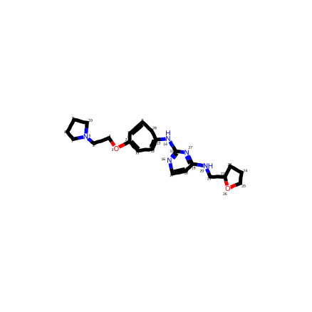 C1=CC(OCCN2CCCC2)=CC=C(Nc2nccc(NCC3CCCO3)n2)C1